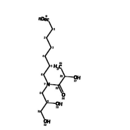 CCCCCCCCCCCCCCCCN(CC(O)CO)C(=O)C(C)O